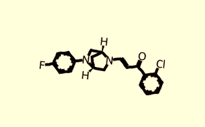 O=C(/C=C/N1C[C@H]2C[C@@H]1CN2c1ccc(F)cc1)c1ccccc1Cl